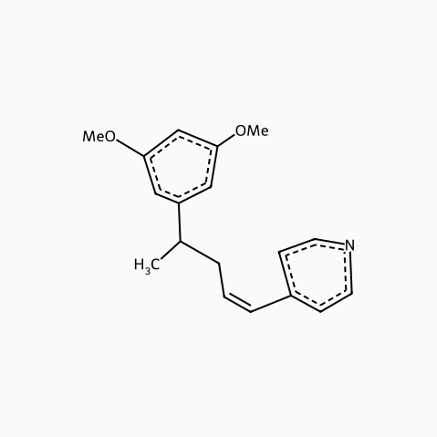 COc1cc(OC)cc(C(C)C/C=C\c2ccncc2)c1